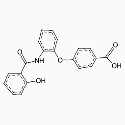 O=C(O)c1ccc(Oc2ccccc2NC(=O)c2ccccc2O)cc1